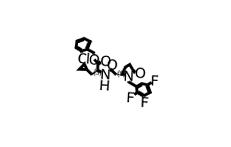 O=C(C[C@@H]1CCC(=O)N1Cc1cc(F)cc(F)c1F)N[C@@H](CC1CC1)C(=O)OCc1ccccc1Cl